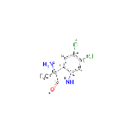 NC1(C(F)(F)F)C(=O)Nc2cc(Cl)c(Cl)cc21